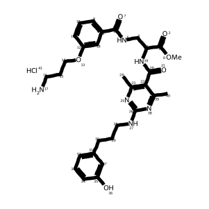 COC(=O)C(CNC(=O)c1cccc(OCCCN)c1)NC(=O)c1c(C)nc(NCCCc2cccc(O)c2)nc1C.Cl